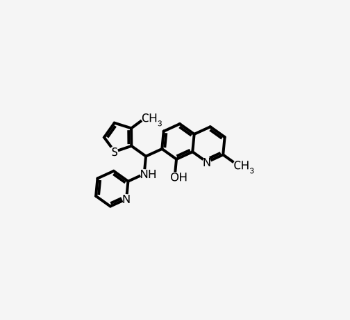 Cc1ccc2ccc(C(Nc3ccccn3)c3sccc3C)c(O)c2n1